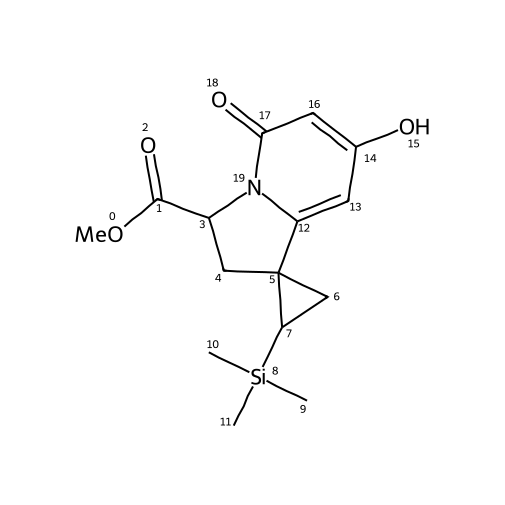 COC(=O)C1CC2(CC2[Si](C)(C)C)c2cc(O)cc(=O)n21